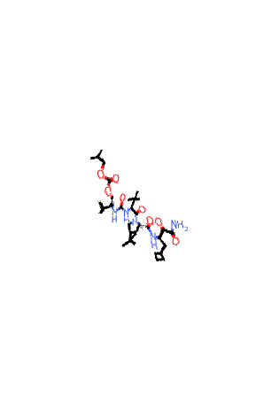 CC(C)COC(=O)OC[C@@H](NC(=O)N[C@H](C(=O)N1CC2C([C@H]1C(=O)NC(CC1CCC1)C(=O)C(N)=O)C2(C)C)C(C)(C)C)C(C)C